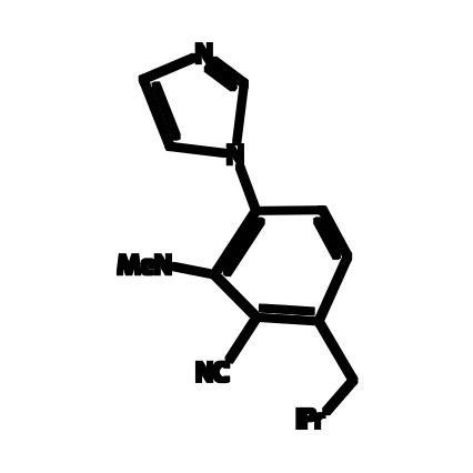 CNc1c(-n2ccnc2)ccc(CC(C)C)c1C#N